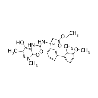 CCOC(=O)C[C@H](NC(=O)Nc1c(O)c(C)cn(C)c1=O)c1cccc(-c2cccc(OC)c2C)c1